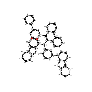 c1ccc(-c2cccc(-c3c(N(c4cccc(-c5cccc6c5sc5ccccc56)c4)c4cccc5c4oc4ccccc45)c4ccccc4c4ccccc34)c2)cc1